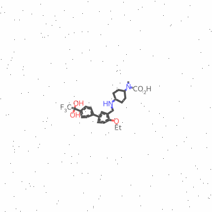 CCOc1ccc(-c2ccc(C(O)(O)C(F)(F)F)cc2)cc1CNC1CCC(N(C)C(=O)O)CC1